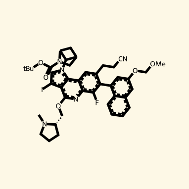 COCOc1cc(-c2c(CCC#N)cc3c(nc(OC[C@@H]4CCCN4C)c4c(I)cn(C5C6CC5N(C(=O)OC(C)(C)C)C6)c43)c2F)c2ccccc2c1